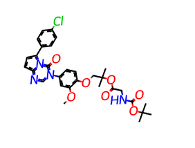 COc1cc(-n2cnc3ccc(-c4ccc(Cl)cc4)n3c2=O)ccc1OCC(C)(C)OC(=O)CNC(=O)OC(C)(C)C